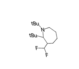 CC(C)(C)C1C(C(F)F)CCCCN1C(C)(C)C